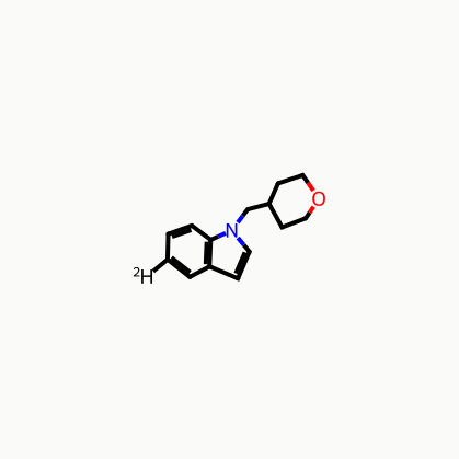 [2H]c1ccc2c(ccn2CC2CCOCC2)c1